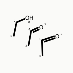 CC=O.CC=O.CCO